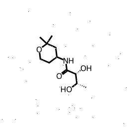 C[C@H](O)[C@@H](O)C(=O)NC1CCOC(C)(C)C1